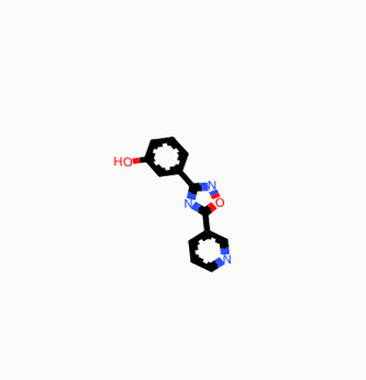 Oc1cccc(-c2noc(-c3cccnc3)n2)c1